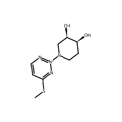 CSc1ccn[n+](N2CC[C@H](O)[C@H](O)C2)n1